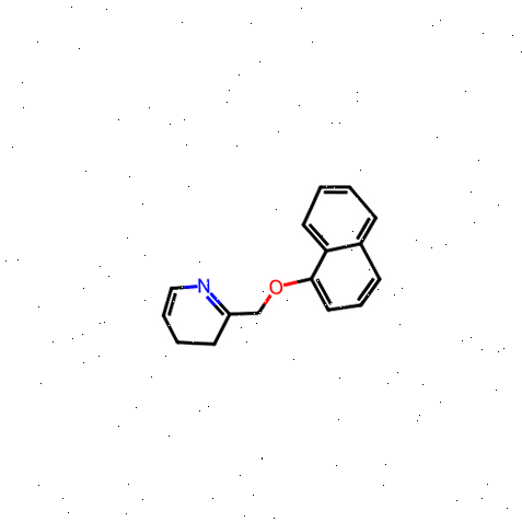 C1=CN=C(COc2cccc3ccccc23)CC1